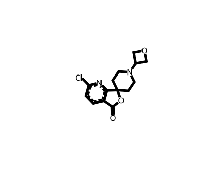 O=C1OC2(CCN(C3COC3)CC2)c2nc(Cl)ccc21